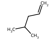 C=CC[C](C)C